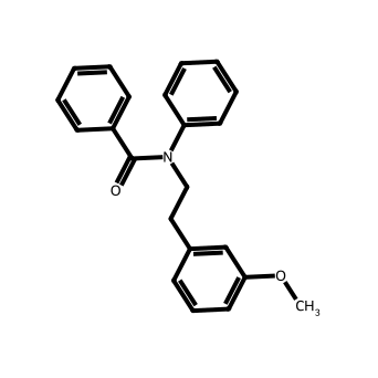 COc1cccc(CCN(C(=O)c2ccccc2)c2ccccc2)c1